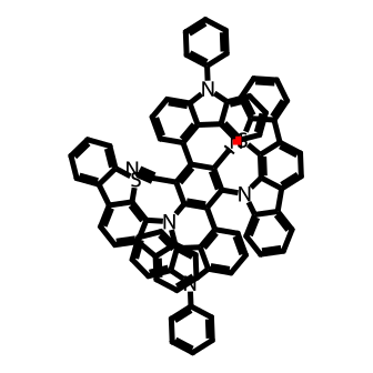 N#Cc1c(-c2cccc3c2c2ccccc2n3-c2ccccc2)c(C#N)c(-n2c3ccccc3c3ccc4c5ccccc5sc4c32)c(-c2cccc3c2c2ccccc2n3-c2ccccc2)c1-n1c2ccccc2c2ccc3c4ccccc4sc3c21